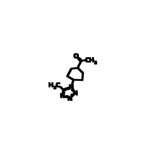 CC(=O)C1CCC(n2nnnc2C)CC1